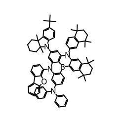 CC(C)(C)c1ccc2c(c1)C1(C)CCCCC1(C)N2c1cc2c3c(c1)N(c1cccc4c1oc1ccccc14)c1cc(N(c4ccccc4)c4ccccc4)ccc1B3c1cc3c(cc1N2c1ccc2c(c1)C(C)(C)CCC2(C)C)C(C)(C)CCC3(C)C